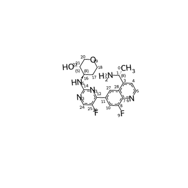 C[C@@H](N)c1ccnc2c(F)cc(-c3nc(N[C@@H]4CCOC[C@H]4O)ncc3F)cc12